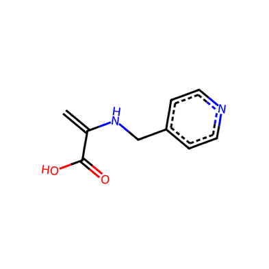 C=C(NCc1ccncc1)C(=O)O